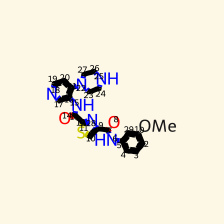 COc1cccc(NC(=O)c2csc(C(=O)Nc3cnccc3N3CCNCC3)n2)c1